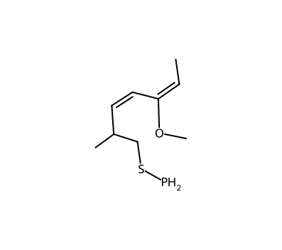 C/C=C(\C=C/C(C)CSP)OC